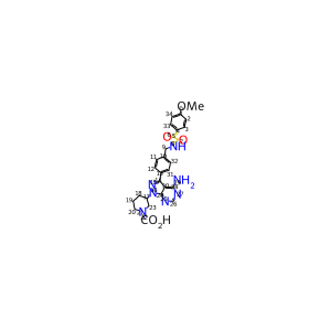 COc1ccc(S(=O)(=O)NCc2ccc(-c3nn([C@@H]4CCCN(C(=O)O)C4)c4ncnc(N)c34)cc2)cc1